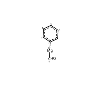 O=[CH][Mg][c]1ccccc1